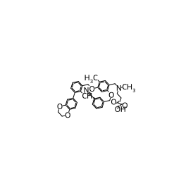 Cc1cc(CN(C)CCS(=O)(=O)O)c(OCc2cccc(C#N)c2)cc1OCc1cccc(-c2ccc3c(c2)OCCO3)c1C